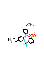 CCc1ccc([I+]c2ccc(CC)cc2)cc1.O=S(=O)([O-])c1cccc(C(F)(F)F)c1